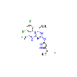 CCc1nc(Nc2cc(C(C)C)[nH]n2)nc(NC(C)c2ccc(F)cc2F)n1